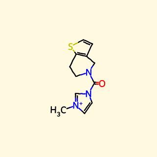 C[n+]1ccn(C(=O)N2CCc3sccc3C2)c1